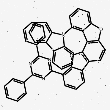 c1ccc(-c2nc(-c3ccccc3)nc(-c3cccc4c3oc3c4ccc4oc5cccc(-n6c7ccccc7c7ccccc76)c5c43)n2)cc1